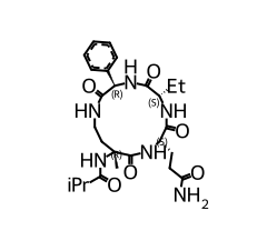 CC[C@@H]1NC(=O)[C@H](CCC(N)=O)NC(=O)[C@](C)(NC(=O)C(C)C)CCNC(=O)[C@@H](c2ccccc2)NC1=O